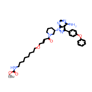 CC(C)(C)OC(=O)NCCCCCCCCOC/C=C/C(=O)N1CCC[C@@H](n2nc(-c3ccc(Oc4ccccc4)cc3)c3c(N)ncnc32)C1